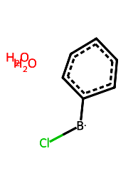 Cl[B]c1ccccc1.O.O